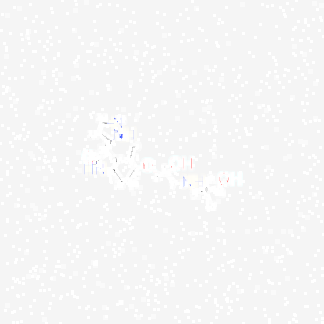 C=C1C(OCC(O)CNCC(C)(C)CO)=CC=C2NC(=O)C(c3ccn[nH]3)C12